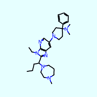 CCCC(c1nc2cc(N3CCC(c4ccccc4)(N(C)C)CC3)cnc2n1CC)N1CCCN(C)CC1